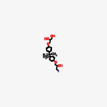 CC1(C(C)(C)c2ccc(OCC(O)CO)cc2)C=CC(OCC(O)CI)=CC1